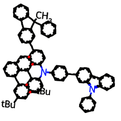 CC(C)(C)c1cc(-c2cccc3cccc(-c4ccccc4N(c4ccc(-c5ccc6c(c5)C(C)(c5ccccc5)c5ccccc5-6)cc4)c4ccc(-c5ccc6c7ccccc7n(-c7ccccc7)c6c5)cc4)c23)cc(C(C)(C)C)c1